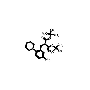 CC(C)(C)OC(=O)N(Cc1cc(N)ccc1N1CCCCC1)C(=O)OC(C)(C)C